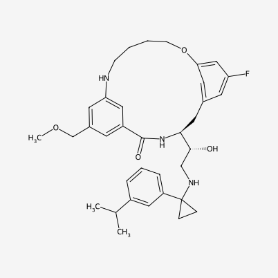 COCc1cc2cc(c1)C(=O)N[C@H]([C@H](O)CNC1(c3cccc(C(C)C)c3)CC1)Cc1cc(F)cc(c1)OCCCCN2